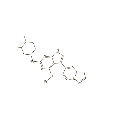 CC(C)Oc1nc(NC2CCC(C)C(C)C2)nc2[nH]cc(-c3ccn4nccc4c3)c12